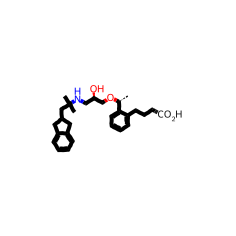 C[C@@H](OC[C@H](O)CNC(C)(C)CC1Cc2ccccc2C1)c1ccccc1CCCC(=O)O